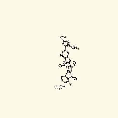 CCc1ccc2c(c1F)C(=O)N(C[C@](C=O)(NC(N)=O)c1cc3cc(-c4cc(O)nn4C)cnc3o1)C2